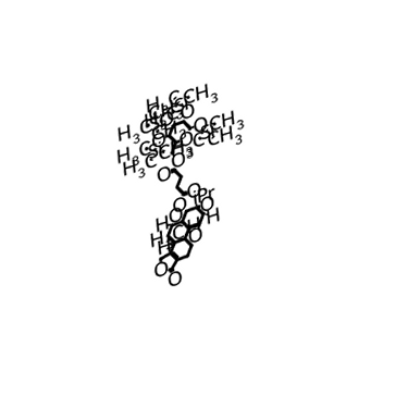 CC(C)[C@]12O[C@H]1[C@@H]1O[C@]13[C@]1(O[C@H]1C[C@H]1C4=C(CC[C@@]13C)C(=O)OC4)[C@@H]2OC(=O)CCC(=O)OCC1O[C@H](O[Si](C)(C)C)[C@@H](O[Si](C)(C)C)C(O[Si](C)(C)C)[C@@H]1O[Si](C)(C)C